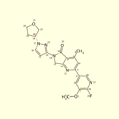 COc1cc(-c2cc(C)c3c(n2)CN(c2ccn([C@@H]4CCOC4)n2)C3=O)cnc1F